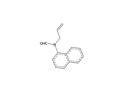 C=CCN([C]=O)c1cccc2ccccc12